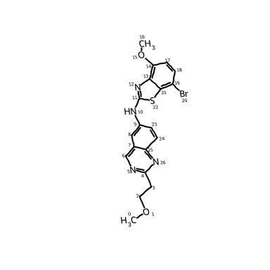 COCCc1ncc2cc(Nc3nc4c(OC)ccc(Br)c4s3)ccc2n1